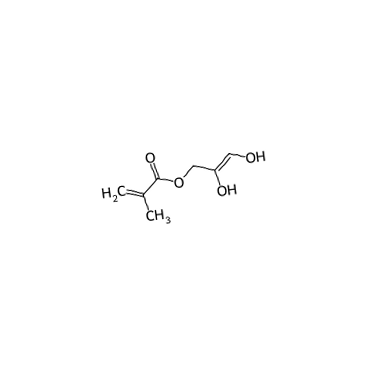 C=C(C)C(=O)OCC(O)=CO